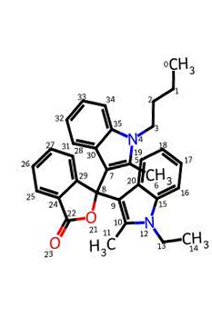 CCCCn1c(C)c(C2(c3c(C)n(CC)c4ccccc34)OC(=O)c3ccccc32)c2ccccc21